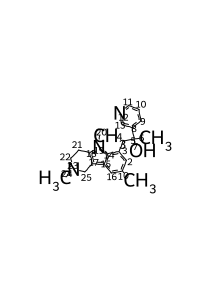 Cc1cc(CC(C)(O)c2cccnc2)c2c(c1)c1c(n2C)CCN(C)C1